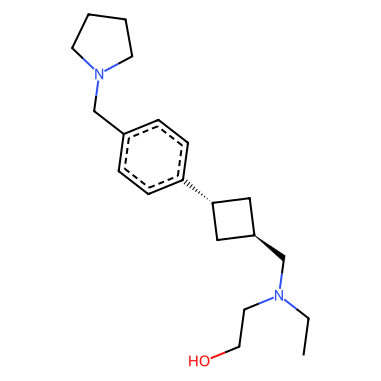 CCN(CCO)C[C@H]1C[C@H](c2ccc(CN3CCCC3)cc2)C1